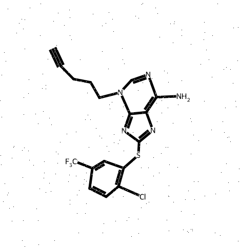 C#CCCCn1cnc(N)c2nc(Sc3cc(C(F)(F)F)ccc3Cl)nc1-2